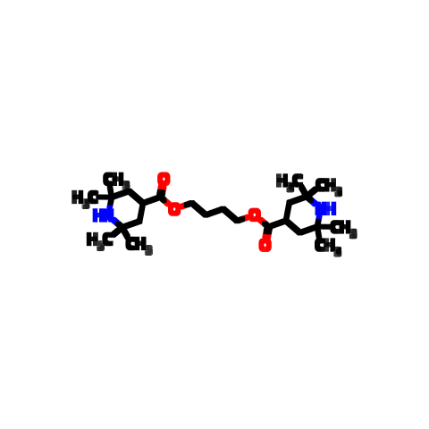 CC1(C)CC(C(=O)OCCCCOC(=O)C2CC(C)(C)NC(C)(C)C2)CC(C)(C)N1